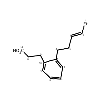 CCC=CCCc1ccccc1CCC(=O)O